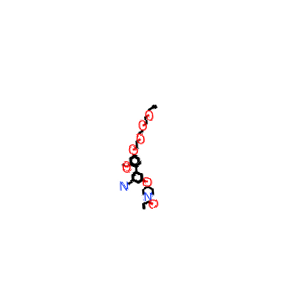 C#CCOCCOCCOCCOc1ccc(-c2cc(C#N)cc(OC3CCN(C(=O)C=C)CC3)c2)c(OC)c1